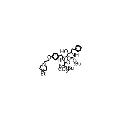 CCN1CCN(CCOc2ccc(CN(CC(O)C(Cc3ccccc3)NC(=O)OC(C)(C)C)NC(=O)C(N(C)C(=O)O)C(C)(C)C)cc2)CC1